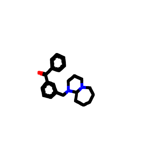 O=C(c1ccccc1)c1cccc(CN2CCCN3CCCCCC32)c1